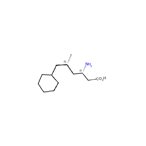 C[C@@H](CC1CCCCC1)C[C@H](N)CC(=O)O